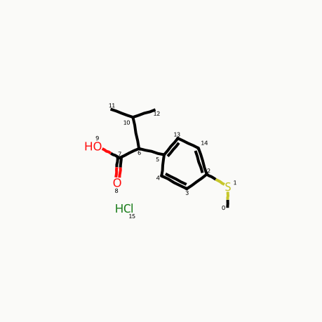 CSc1ccc(C(C(=O)O)C(C)C)cc1.Cl